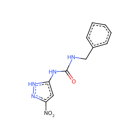 O=C(NCc1ccccc1)Nc1cc([N+](=O)[O-])n[nH]1